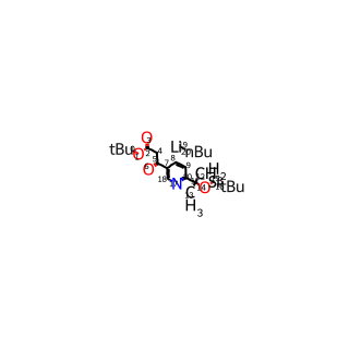 CC(C)(C)OC(=O)CC(=O)c1ccc(C(C)(C)O[SiH2]C(C)(C)C)nc1.[Li][CH2]CCC